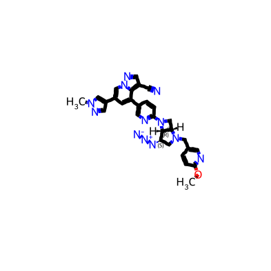 COc1ccc(CN2C[C@H](N=[N+]=[N-])[C@H]3[C@@H]2CN3c2ccc(-c3cc(-c4cnn(C)c4)cn4ncc(C#N)c34)cn2)cn1